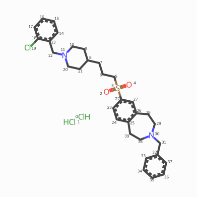 Cl.Cl.O=S(=O)(CCCC1CCN(Cc2ccccc2Cl)CC1)c1ccc2c(c1)CCN(Cc1ccccc1)CC2